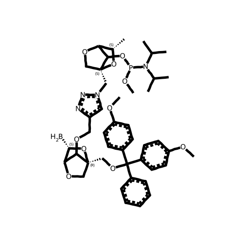 B[C@@H]1O[C@@]2(COC(c3ccccc3)(c3ccc(OC)cc3)c3ccc(OC)cc3)COC1C2OCc1cn(C[C@]23COC(C2OP(OC)N(C(C)C)C(C)C)[C@H](C)O3)nn1